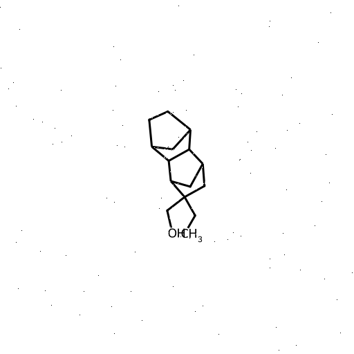 CCC1(CO)CC2CC1C1C3CCC(C3)C21